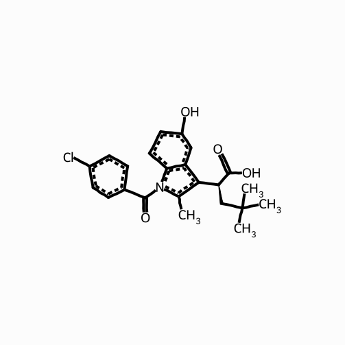 Cc1c([C@H](CC(C)(C)C)C(=O)O)c2cc(O)ccc2n1C(=O)c1ccc(Cl)cc1